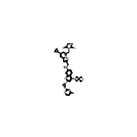 Cc1ccnc([C@H]2C[C@@H]2c2cc(N3CC4(COC4)C3)c3ccc(NCc4cc5cc(C6CC6)cc(CN6C(=O)CNC6=O)n5n4)cc3n2)n1